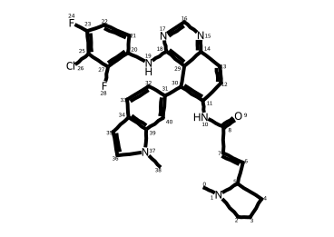 CN1CCCC1/C=C/C(=O)Nc1ccc2ncnc(Nc3ccc(F)c(Cl)c3F)c2c1-c1ccc2ccn(C)c2c1